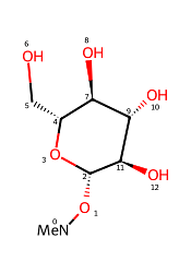 CNO[C@@H]1O[C@H](CO)[C@@H](O)[C@H](O)[C@H]1O